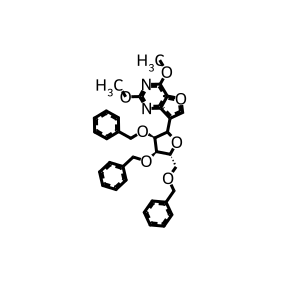 COc1nc(OC)c2occ(C3O[C@H](COCc4ccccc4)[C@@H](OCc4ccccc4)[C@H]3OCc3ccccc3)c2n1